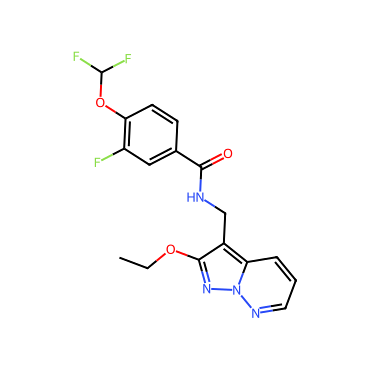 CCOc1nn2ncccc2c1CNC(=O)c1ccc(OC(F)F)c(F)c1